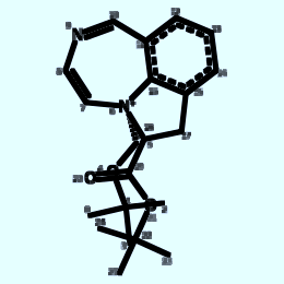 CC(C)(C)OC[N@+]12C=CN=Cc3cccc(c31)CC2C(=O)OC(C)(C)C